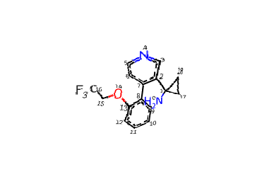 NC1(c2cnccc2-c2ccccc2OCC(F)(F)F)CC1